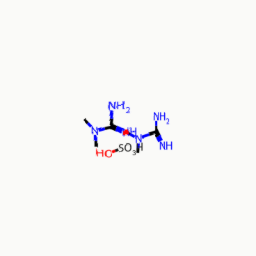 CN(C)C(=N)N.CN(C)C(=N)N.O=S(=O)(O)O